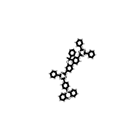 CC1(c2ccccc2)Oc2cc(-c3nc(-c4ccccc4)nc(-c4ccc(N5c6ccccc6Oc6ccccc65)cc4)n3)ccc2-c2ccc(-c3nc(-c4ccccc4)nc(-c4ccccc4)n3)cc21